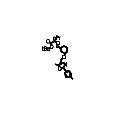 CCCC(OCC1CCCC(OCc2nc(-c3ccc(C)cc3)oc2C)C1)C(=O)OC(C)(C)C